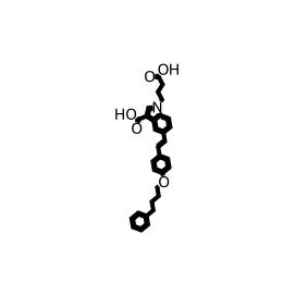 O=C(O)CCCn1cc(C(=O)O)c2cc(C=Cc3ccc(OCCCCc4ccccc4)cc3)ccc21